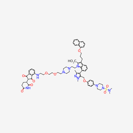 Cc1nn(C)c(COc2ccc(N3CCN(S(=O)(=O)N(C)C)CC3)cc2)c1-c1cccc2c(CCCOc3cccc4ccccc34)c(C(=O)O)n(CCN3CCN(CCOCCOCCNc4cccc5c4C(=O)C(C4CCC(=O)NC4=O)C5=O)CC3)c12